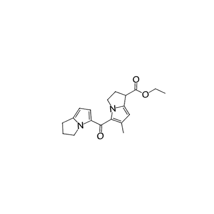 CCOC(=O)C1CCn2c1cc(C)c2C(=O)c1ccc2n1CCC2